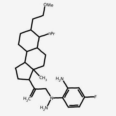 C=C(CN(N)c1ccc(F)cc1N)C1CCC2C3CCC(CCOC)C(CCC)C3CCC12C